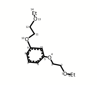 CCOCCOc1c[c]cc(OCCOCC)c1